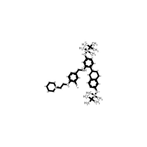 CC(C)(C)[Si](C)(C)Oc1ccc2c(c1)CCC(c1ccc(O[Si](C)(C)C(C)(C)C)cc1NCc1ccc(OCCN3CCCCC3)c(F)c1)C2